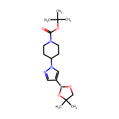 CC(C)(C)OC(=O)N1CCC(n2cc(B3OCC(C)(C)O3)cn2)CC1